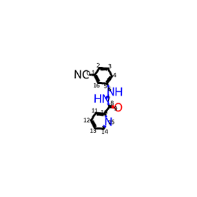 N#Cc1cccc(NNC(=O)c2ccccn2)c1